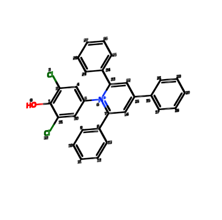 Oc1c(Cl)cc(-[n+]2c(-c3ccccc3)cc(-c3ccccc3)cc2-c2ccccc2)cc1Cl